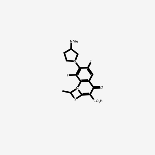 CNC1CCN(c2c(F)cc3c(=O)c(C(=O)O)c4n(c3c2F)C(C)S4)C1